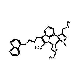 CCOC(=O)c1c(CCCOc2cccc3ccccc23)c2cccc(-c3c(COC(C)C)nn(C)c3CBr)c2n1CCCNC